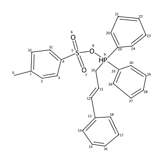 Cc1ccc(S(=O)(=O)O[PH](CC=Cc2ccccc2)(c2ccccc2)c2ccccc2)cc1